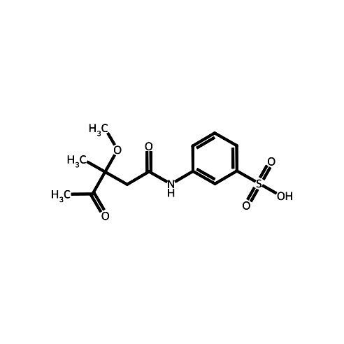 COC(C)(CC(=O)Nc1cccc(S(=O)(=O)O)c1)C(C)=O